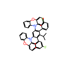 CC(C)c1c(-c2cccc(F)c2)c(N2c3ccccc3Oc3ccccc32)cc(N2c3ccccc3Oc3ccccc32)c1-c1cccc(F)c1